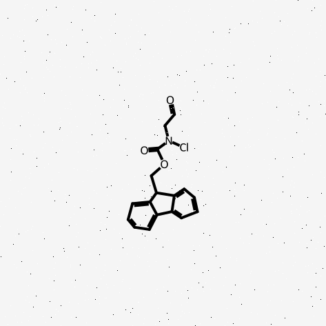 O=CCN(Cl)C(=O)OCC1c2ccccc2-c2ccccc21